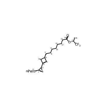 CCCCCC1CC1C1CC(CCCCCCCC(=O)OC(C)C(F)(F)F)C1